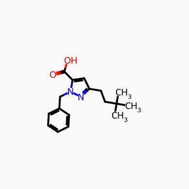 CC(C)(C)CCc1cc(C(=O)O)n(Cc2ccccc2)n1